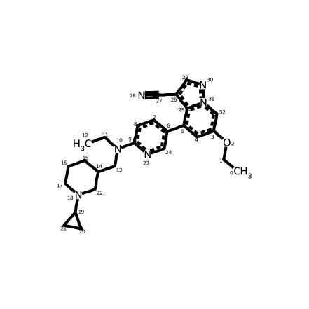 CCOc1cc(-c2ccc(N(CC)CC3CCCN(C4CC4)C3)nc2)c2c(C#N)cnn2c1